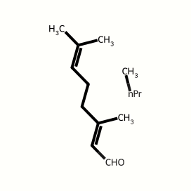 CC(C)=CCC/C(C)=C/C=O.CCCC